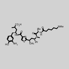 CC[C@H](C)[C@H](NC(=O)CCCCCNC)C(=O)N(C)[C@H](C[C@@H](OC(C)=O)c1nc(C(=O)N[C@@H](Cc2ccc(O)c(N)c2)CC(C)C(=O)O)cs1)C(C)C